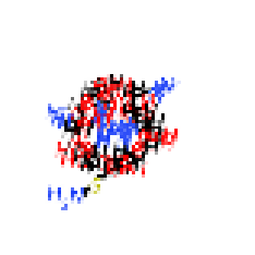 [N-]=[N+]=NC[C@H]1O[C@@H]2O[C@H]3[C@H](O)[C@@H](O)[C@@H](O[C@H]4[C@H](O)[C@@H](O)[C@@H](O[C@H]5[C@H](O)[C@@H](OCCCSCCN)[C@@H](O[C@H]6[C@H](O)[C@@H](O)[C@@H](O[C@H]7[C@H](O)[C@@H](O)[C@@H](O[C@H]1[C@H](O)[C@H]2O)O[C@@H]7CN=[N+]=[N-])O[C@@H]6CN=[N+]=[N-])O[C@@H]5CN=[N+]=[N-])O[C@@H]4CN=[N+]=[N-])O[C@@H]3CN=[N+]=[N-]